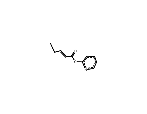 CCC=CC(=O)Oc1ccccn1